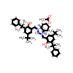 CC(=O)[O-].CC(C)(C)c1cc(C=[N+]2[Co][N+](=Cc3cc(C(C)(C)C)cc(C(C)(C)c4ccccc4)c3O)[C@@H]3CCCC[C@H]32)c(O)c(C(C)(C)c2ccccc2)c1